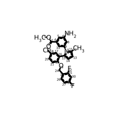 COC(=O)c1cc(N)cc(-n2c(C)ccc2-c2cc(Cl)ccc2OCc2ccc(F)cc2F)c1